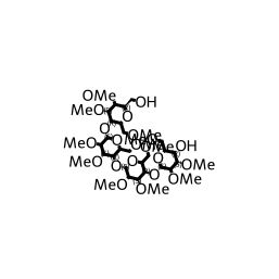 COCC1O[C@@H](O[C@@H]2C(COC)O[C@@H](O[C@@H]3C(COC)O[C@@H](O[C@@H]4C(COC)O[C@H](CO)C(OC)[C@H]4OC)C(OC)[C@H]3OC)C(OC)[C@H]2OC)C(OC)[C@@H](OC)[C@@H]1O